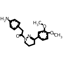 COc1ccc(C2=NN(C(=O)Cc3ccc(N)cc3)CCC2)cc1OC